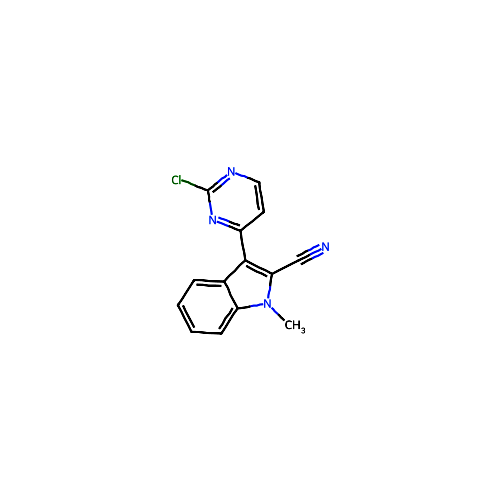 Cn1c(C#N)c(-c2ccnc(Cl)n2)c2ccccc21